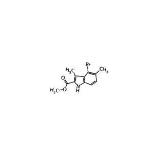 COC(=O)c1[nH]c2ccc(C)c(Br)c2c1C